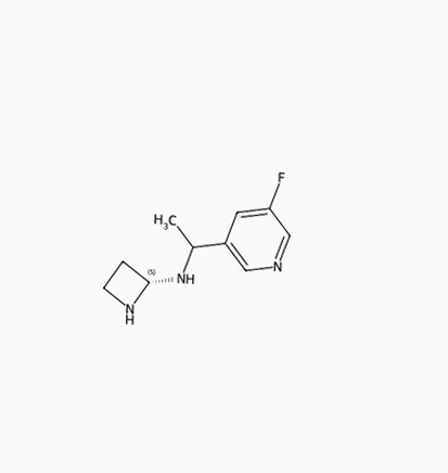 CC(N[C@H]1CCN1)c1cncc(F)c1